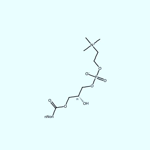 CCCCCCCCCC(=O)OC[C@@H](O)COP(=O)([O-])OCC[N+](C)(C)C